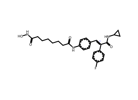 O=C(CCCCCCC(=O)Nc1ccc(/C=C(/C(=O)NC2CC2)c2ccc(F)cc2)cc1)NO